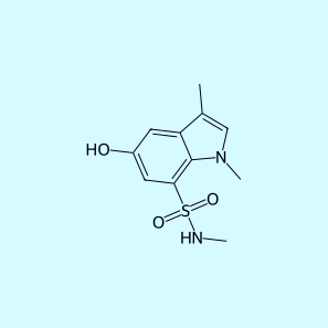 CNS(=O)(=O)c1cc(O)cc2c(C)cn(C)c12